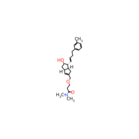 Cc1cccc(CC/C=C/[C@@H]2[C@H]3CC(COCCC(=O)N(C)C)=C[C@H]3C[C@H]2O)c1